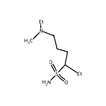 CCC(CCCN(C)CC)S(N)(=O)=O